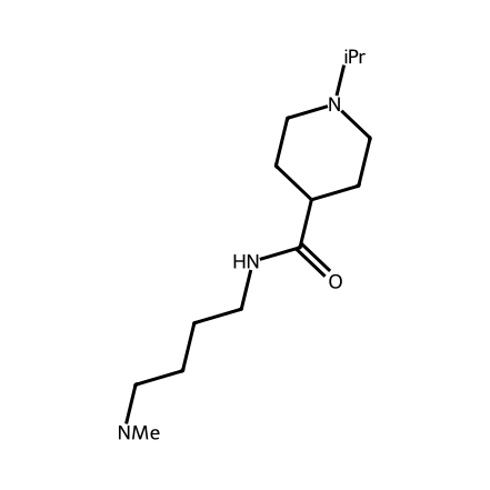 CNCCCCNC(=O)C1CCN(C(C)C)CC1